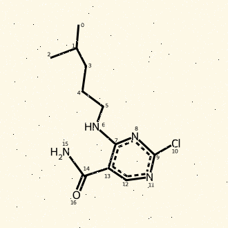 CC(C)CCCNc1nc(Cl)ncc1C(N)=O